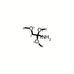 COCC(N)(OC)OC